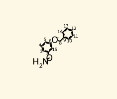 NOc1cccc(OCc2ccccc2)c1